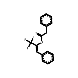 O=C(Cc1ccccc1)O/C(=C\c1ccccc1)C(F)(F)F